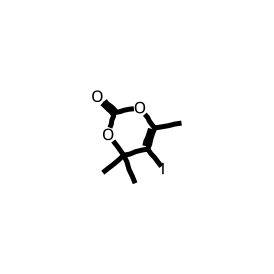 CC1=C(I)C(C)(C)OC(=O)O1